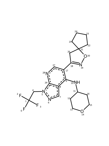 FC(F)(F)Cn1ncc2c(NC3CCOCC3)c(C3=NOC4(CCCC4)C3)cnc21